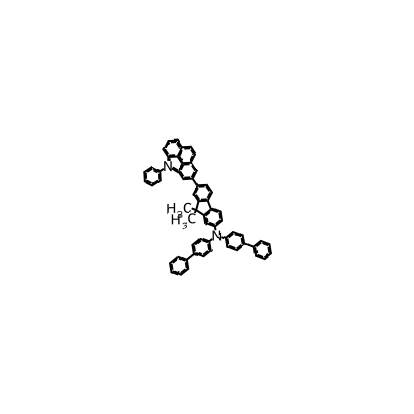 CC1(C)c2cc(-c3cc4ccc5cccc6c5c4c(c3)n6-c3ccccc3)ccc2-c2ccc(N(c3ccc(-c4ccccc4)cc3)c3ccc(-c4ccccc4)cc3)cc21